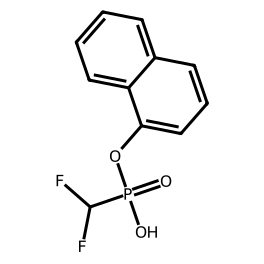 O=P(O)(Oc1cccc2ccccc12)C(F)F